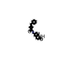 O=C1CCc2cc(/C=C/C(=O)N3CC(=Cc4ccccc4)C3)cnc2N1